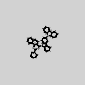 c1ccc(-c2nc(-n3c4ccccc4c4cc(-n5c6ccccc6c6ccccc65)ccc43)c3ccc4ccccc4c3n2)cc1